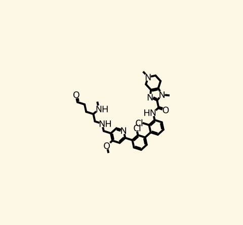 CNC(CCC=O)CNCc1cnc(-c2cccc(-c3cccc(NC(=O)c4nc5c(n4C)CCN(C)C5)c3Cl)c2Cl)cc1OC